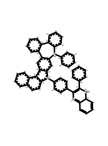 C1=CC2=NC(c3ccc(-n4c5cc6c(cc5c5c7ccccc7ccc54)-c4ccccc4-c4ccccc4N6c4ccccc4)cc3)=C(c3ccccc3)NC2C=C1